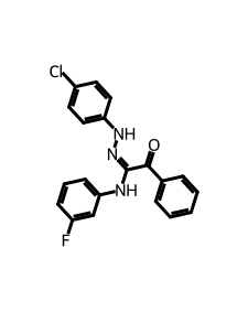 O=C(/C(=N\Nc1ccc(Cl)cc1)Nc1cccc(F)c1)c1ccccc1